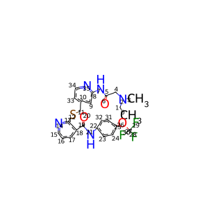 CCN(C)CC(=O)Nc1cc(CSc2ncccc2C(=O)Nc2ccc(OC(F)(F)F)cc2)ccn1